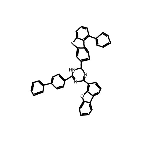 c1ccc(-c2ccc(C3=NC(c4cccc5c4oc4ccccc45)=NC(c4ccc5c(c4)sc4cccc(-c6ccccc6)c45)N3)cc2)cc1